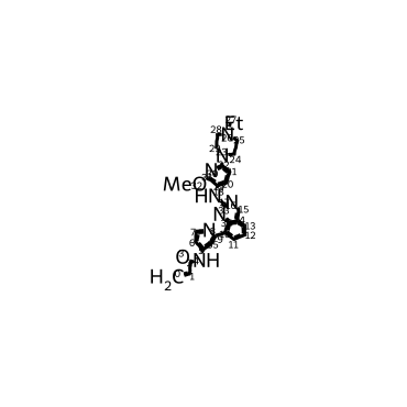 C=CC(=O)Nc1ccnc(-c2cccc3cnc(Nc4ccc(N5CCN(CC)CC5)nc4OC)nc23)c1